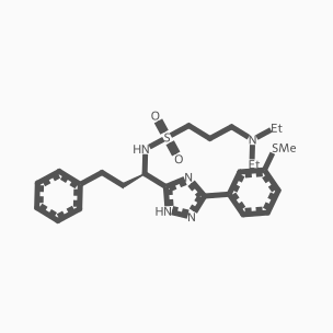 CCN(CC)CCCS(=O)(=O)N[C@H](CCc1ccccc1)c1nc(-c2cccc(SC)c2)n[nH]1